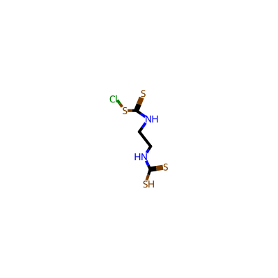 S=C(S)NCCNC(=S)SCl